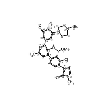 COCOc1c(-c2ccc(-n3ccn(C)c3=O)c(Cl)c2)cc(C)nc1-c1cc(N2CCN(C(C)(C)C)CC2)n(C)c(=O)c1